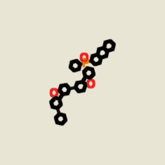 O=P(c1ccccc1)(c1ccc2cc3ccccc3cc2c1)c1ccc2oc3ccc(-c4ccc5oc6ccc(-c7ccccc7)cc6c5c4)cc3c2c1